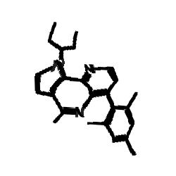 CCC(CC)n1ccc2c(C)nc3c(-c4c(C)cc(C)cc4C)ccnc3c21